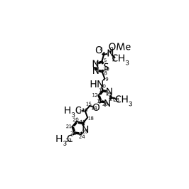 CON(C)C(=O)c1nnc(CNc2cc(OC[C@H](C)Cc3ccc(C)cn3)nc(C)n2)s1